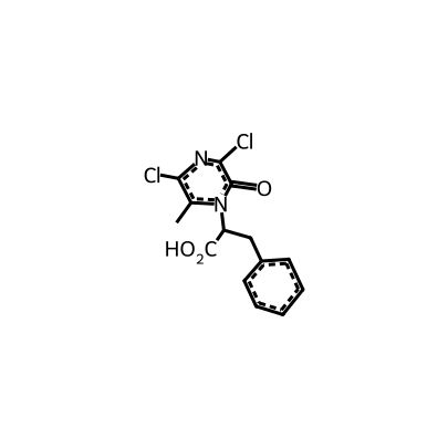 Cc1c(Cl)nc(Cl)c(=O)n1C(Cc1ccccc1)C(=O)O